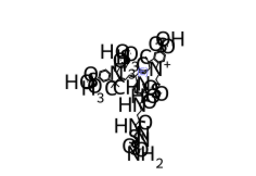 CC1(C)C(=CC=C(/C=C/C2=[N+](CCCS(=O)(=O)O)c3ccc(S(=O)(=O)O)cc3C2(C)C)c2ccc(C(=O)NCCC(=O)Nc3nnc(S(N)(=O)=O)s3)cn2)N(CCCS(=O)(=O)O)c2ccc(S(=O)(=O)O)cc21